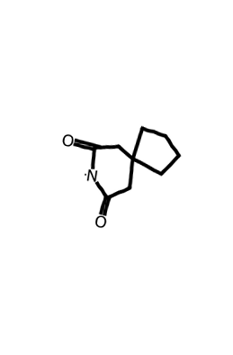 O=C1CC2(CCCC2)CC(=O)[N]1